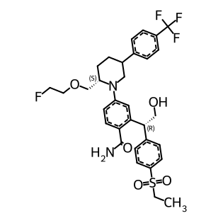 CCS(=O)(=O)c1ccc([C@@H](CO)c2cc(N3CC(c4ccc(C(F)(F)F)cc4)CC[C@H]3COCCF)ccc2C(N)=O)cc1